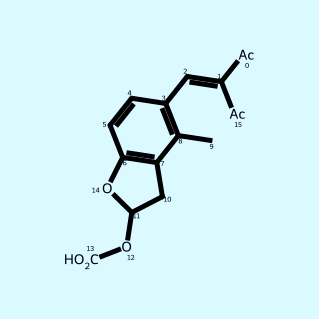 CC(=O)C(=Cc1ccc2c(c1C)CC(OC(=O)O)O2)C(C)=O